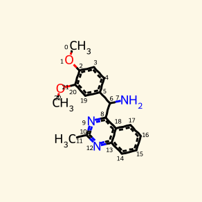 COc1ccc(C(N)c2nc(C)nc3ccccc23)cc1OC